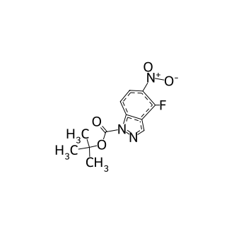 CC(C)(C)OC(=O)n1ncc2c(F)c([N+](=O)[O-])ccc21